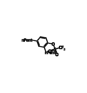 CCCCCc1ccc(OS(=O)(=O)C(F)(F)F)c(CCCCC)c1